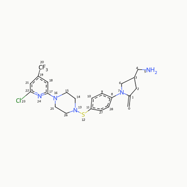 C=C1CC(CN)CN1c1ccc(SN2CCN(c3cc(C(F)(F)F)cc(Cl)n3)CC2)cc1